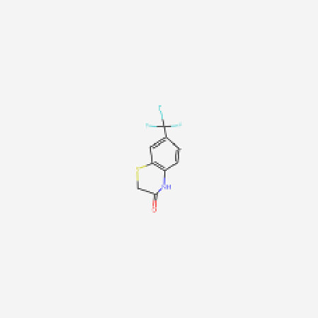 O=C1CSc2cc(C(F)(F)F)[c]cc2N1